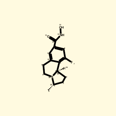 C[C@H]1CC[C@@H]2c3c(F)cc(C(=O)NO)cc3CCN21